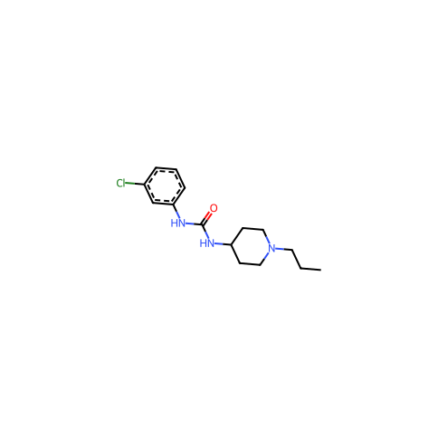 CCCN1CCC(NC(=O)Nc2cccc(Cl)c2)CC1